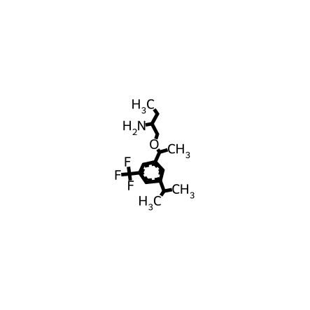 CCC(N)COC(C)c1cc(C(C)C)cc(C(F)(F)F)c1